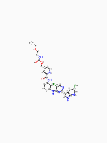 O=C(NCCOCC(F)(F)F)OCc1ccnc(C(=O)NC2CCCC(Nc3nc(-c4c[nH]c5ncc(F)cc45)ncc3F)C2)c1